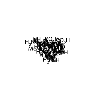 CNC(=O)[C@H](CC(=O)O)NC(=O)[C@@H](C)NC(=O)[C@H](CO)NC(=O)[C@H](CCCNC(=N)N)NC(=O)[C@H](CCCNC(=N)N)NC(=O)[C@H](CCCCN)NC(=O)[C@H](CCC(=O)O)NC(=O)[C@H](CCCNC(=N)N)NC(=O)[C@H](CO)NC